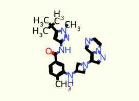 Cc1ccc(C(=O)Nc2cc(C(C)(C)C)n(C)n2)cc1NC1CN(c2cnn3ccncc23)C1